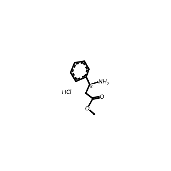 COC(=O)C[C@H](N)c1ccccc1.Cl